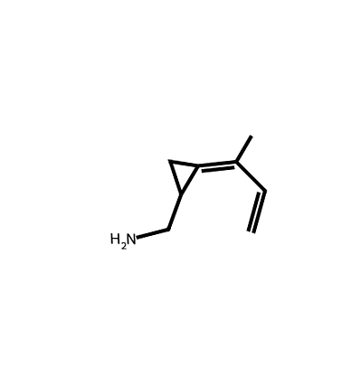 C=C/C(C)=C1/CC1CN